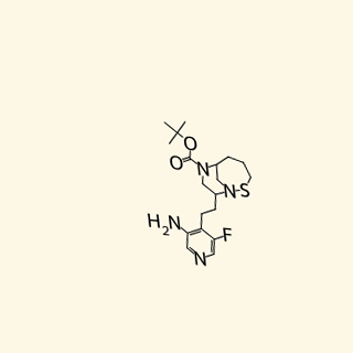 CC(C)(C)OC(=O)N1CC(CCc2c(N)cncc2F)N2CC1CCCS2